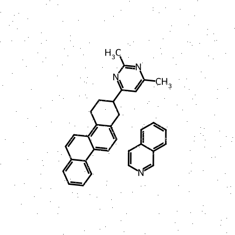 Cc1cc(C2CCc3c(ccc4c3ccc3ccccc34)C2)nc(C)n1.c1ccc2cnccc2c1